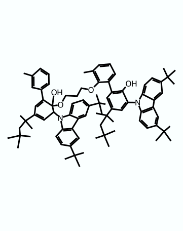 Cc1cccc(C2=CC(C(C)(C)CC(C)(C)C)=CC(n3c4ccc(C(C)(C)C)cc4c4cc(C(C)(C)C)ccc43)C2(O)OCCCOc2c(C)cccc2-c2cc(C(C)(C)CC(C)(C)C)cc(-n3c4ccc(C(C)(C)C)cc4c4cc(C(C)(C)C)ccc43)c2O)c1